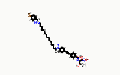 CC(CCCCCCCCCCCCCCNCc1ccc(SC(F)(F)F)cc1)Nc1ccc(C#Cc2ccc(C(=O)N[C@H](C(=O)NO)[C@@H](C)O)cc2)cc1